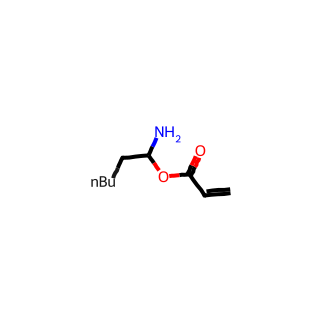 C=CC(=O)OC(N)CCCCC